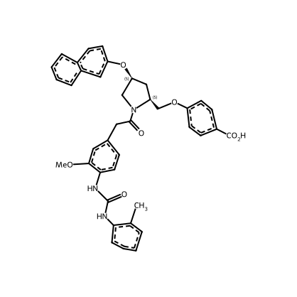 COc1cc(CC(=O)N2C[C@@H](Oc3ccc4ccccc4c3)C[C@H]2COc2ccc(C(=O)O)cc2)ccc1NC(=O)Nc1ccccc1C